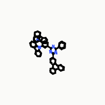 c1ccc(-c2nc(-c3ccc(-c4ccccc4)c(-n4c5ccccc5c5cccc(-n6c7ccccc7c7ccccc76)c54)c3)nc(-c3ccc4c5ccccc5c5ccccc5c4c3)n2)cc1